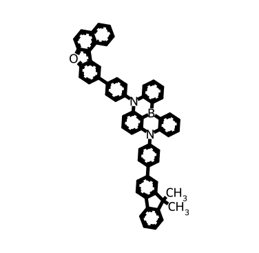 CC1(C)c2ccccc2-c2ccc(-c3ccc(N4c5ccccc5B5c6ccccc6N(c6ccc(-c7ccc8oc9ccc%10ccccc%10c9c8c7)cc6)c6cccc4c65)cc3)cc21